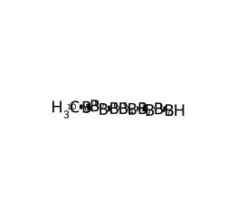 B=BB=BB=BB=BB=BC